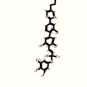 CCCc1cnc(-c2ccc(-c3cc(F)c(/C=C/C(F)(F)Oc4cc(F)c(F)c(F)c4)c(F)c3)c(F)c2)nc1